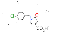 O=C(O)c1ccn(Cc2ccc(Cl)cc2)c(=O)c1